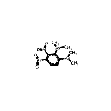 C[As](C)c1ccc([As](=O)=O)c([As](=O)=O)c1[As](C)C